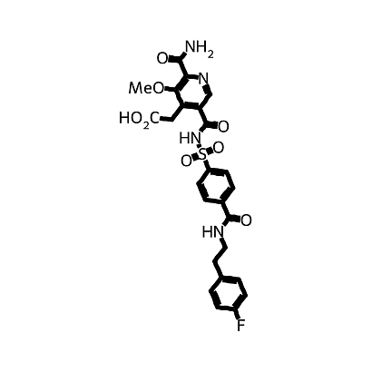 COc1c(C(N)=O)ncc(C(=O)NS(=O)(=O)c2ccc(C(=O)NCCc3ccc(F)cc3)cc2)c1CC(=O)O